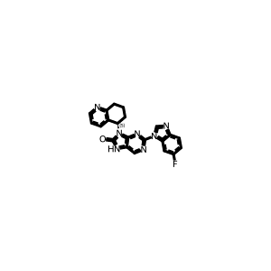 O=c1[nH]c2cnc(-n3cnc4ccc(F)cc43)nc2n1[C@H]1CCCc2ncccc21